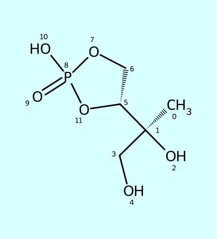 C[C@](O)(CO)[C@H]1COP(=O)(O)O1